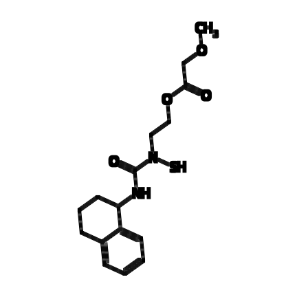 COCC(=O)OCCN(S)C(=O)NC1CCCc2ccccc21